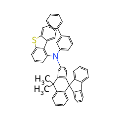 CC1(C)c2ccccc2C2(c3ccccc3-c3ccccc32)c2ccc(N(c3cccc(-c4ccccc4)c3)c3cccc4sc5ccccc5c34)cc21